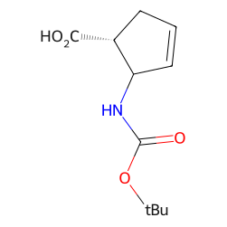 CC(C)(C)OC(=O)NC1C=CC[C@H]1C(=O)O